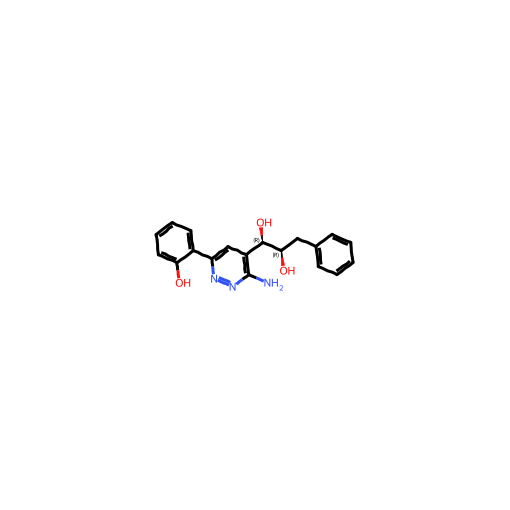 Nc1nnc(-c2ccccc2O)cc1[C@@H](O)[C@H](O)Cc1ccccc1